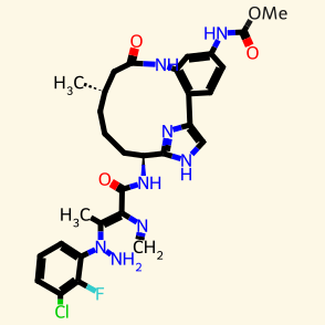 C=N/C(C(=O)N[C@H]1CCC[C@H](C)CC(=O)Nc2cc(NC(=O)OC)ccc2-c2c[nH]c1n2)=C(/C)N(N)c1cccc(Cl)c1F